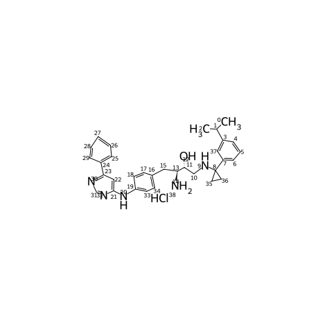 CC(C)c1cccc(C2(NC[C@@H](O)[C@@H](N)Cc3ccc(Nc4cc(-c5ccccc5)ncn4)cc3)CC2)c1.Cl